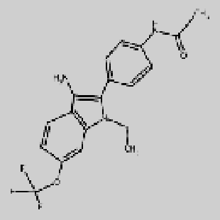 CCn1c(-c2ccc(NC(C)=O)cc2)c(N)c2ccc(OC(F)(F)F)cc21